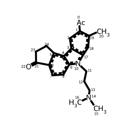 CC(=O)c1cc2c3c4c(ccc3n(CCCN(C)C)c2cc1C)C(=O)CC4